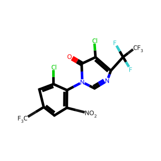 O=c1c(Cl)c(C(F)(F)C(F)(F)F)ncn1-c1c(Cl)cc(C(F)(F)F)cc1[N+](=O)[O-]